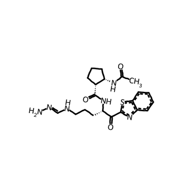 CC(=O)N[C@H]1CCC[C@H]1C(=O)N[C@@H](CCCNC=NN)C(=O)c1nc2ccccc2s1